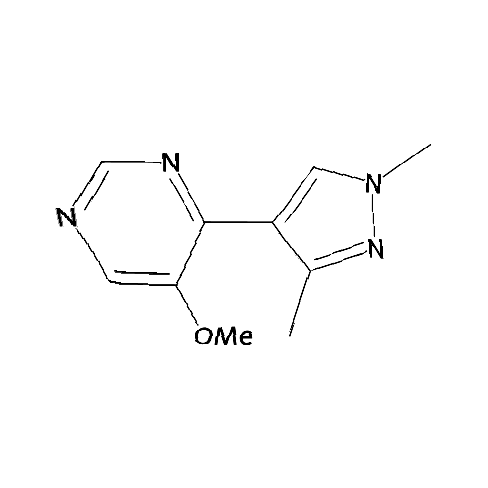 COc1cncnc1-c1cn(C)nc1C